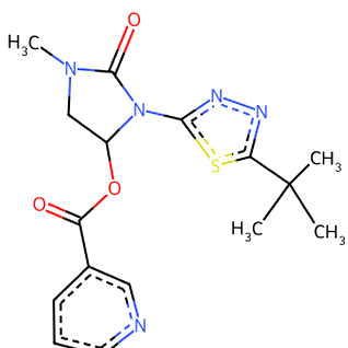 CN1CC(OC(=O)c2cccnc2)N(c2nnc(C(C)(C)C)s2)C1=O